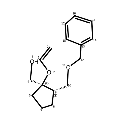 C=CO[C@]1(CO)CCC[C@H]1COCc1ccccc1